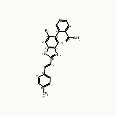 NC(=O)c1ccccc1-c1cc2nc(C=Cc3ccc(C(F)(F)F)cc3)[nH]c2cc1F